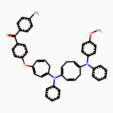 COc1ccc(N(/C2=C/C/C=C(N(C3=CC=C(Oc4ccc(C(=O)c5ccc(C)cc5)cc4)C=CC3)c3ccccc3)\C=C/C2)c2ccccc2)cc1